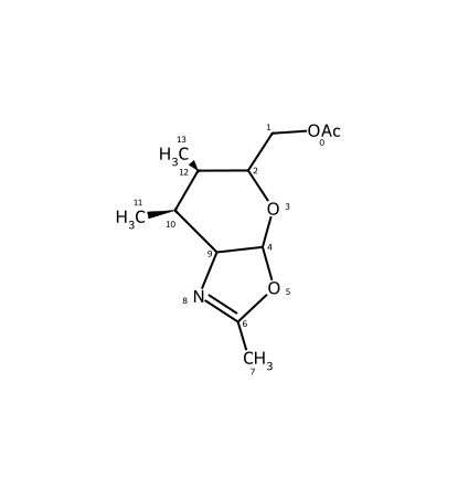 CC(=O)OCC1OC2OC(C)=NC2[C@@H](C)[C@H]1C